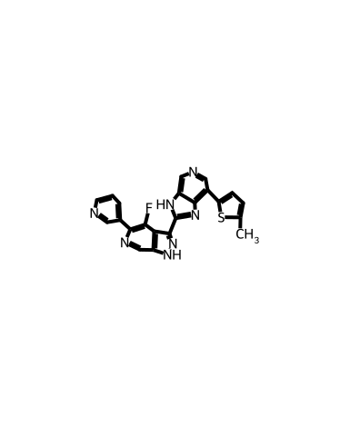 Cc1ccc(-c2cncc3[nH]c(-c4n[nH]c5cnc(-c6cccnc6)c(F)c45)nc23)s1